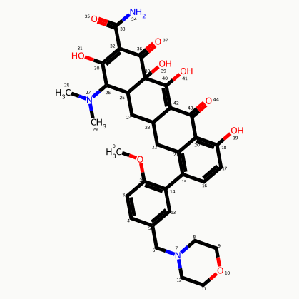 COc1ccc(CN2CCOCC2)cc1-c1ccc(O)c2c1CC1CC3C(N(C)C)C(O)=C(C(N)=O)C(=O)C3(O)C(O)=C1C2=O